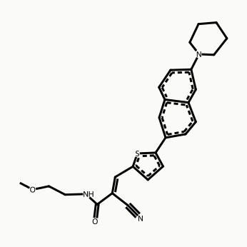 COCCNC(=O)/C(C#N)=C/c1ccc(-c2ccc3cc(N4CCCCC4)ccc3c2)s1